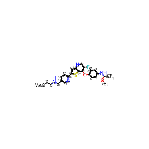 CCOC(Nc1ccc(Oc2ccnc3cc(-c4ccc(CNCCOC)cn4)sc23)c(F)c1)C(F)(F)F